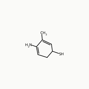 CC1=CC(S)CC=C1N